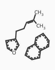 CC(C)=CCCc1ccoc1.c1ccc2ccccc2c1